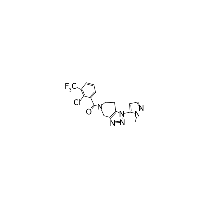 Cn1nccc1-n1nnc2c1CCN(C(=O)c1cccc(C(F)(F)F)c1Cl)C2